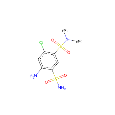 CCCN(CCC)S(=O)(=O)c1cc(S(N)(=O)=O)c(N)cc1Cl